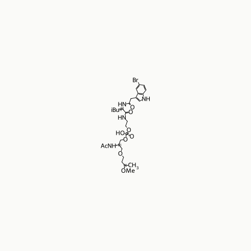 CC[C@H](C)[C@H](NC(=O)Cc1c[nH]c2ccc(Br)cc12)C(=O)NCCOP(=O)(O)OC[C@@H](COCC[C@@H](C)OC)NC(C)=O